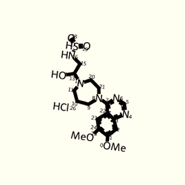 COc1cc2ncnc(N3CCCN(C(O)CN[SH](=O)=O)CC3)c2cc1OC.Cl